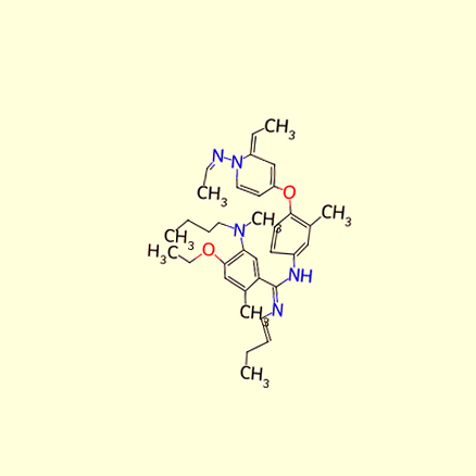 C/C=N\N1C=CC(Oc2ccc(N/C(=N/C=C/CC)c3cc(N(C)CCCC)c(OCC)cc3C)cc2C)=C/C1=C\C